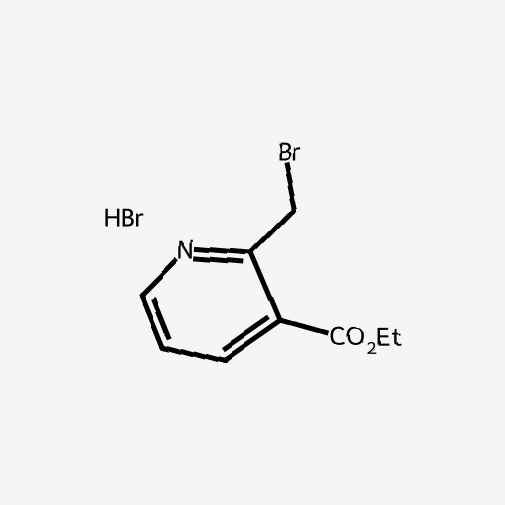 Br.CCOC(=O)c1cccnc1CBr